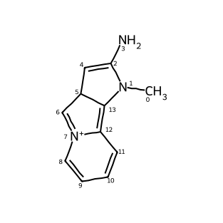 CN1C(N)=CC2C=[n+]3ccccc3=C21